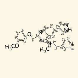 COc1cccc(OCc2nc(N(C)CCc3ccncc3)c3cc(-c4cn[nH]c4)ccc3n2)c1